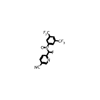 N#Cc1ccc(C(F)[S+]([O-])c2cc(C(F)(F)F)cc(C(F)(F)F)c2)nc1